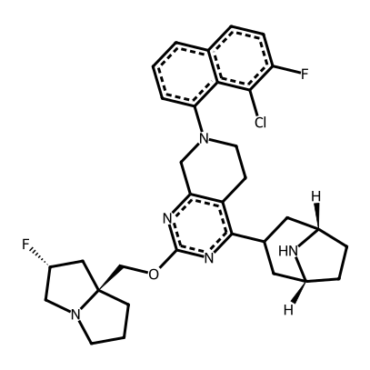 Fc1ccc2cccc(N3CCc4c(nc(OC[C@@]56CCCN5C[C@H](F)C6)nc4C4C[C@H]5CC[C@@H](C4)N5)C3)c2c1Cl